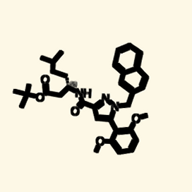 COc1cccc(OC)c1-c1cc(C(=O)N[C@@H](CCC(C)C)CC(=O)OC(C)(C)C)nn1Cc1ccc2ccccc2c1